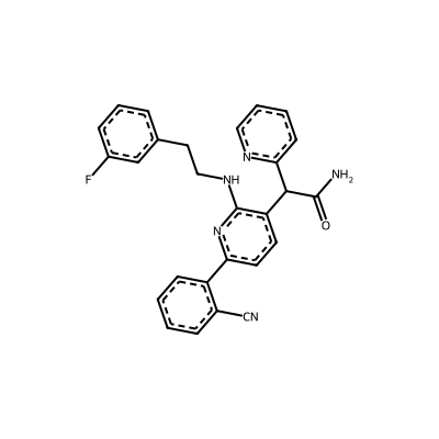 N#Cc1ccccc1-c1ccc(C(C(N)=O)c2ccccn2)c(NCCc2cccc(F)c2)n1